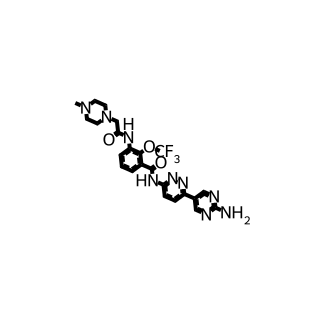 CN1CCN(CC(=O)Nc2cccc(C(=O)Nc3ccc(-c4cnc(N)nc4)nn3)c2OC(F)(F)F)CC1